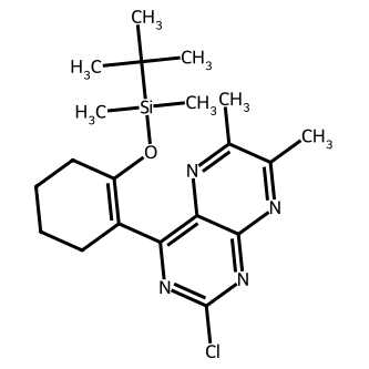 Cc1nc2nc(Cl)nc(C3=C(O[Si](C)(C)C(C)(C)C)CCCC3)c2nc1C